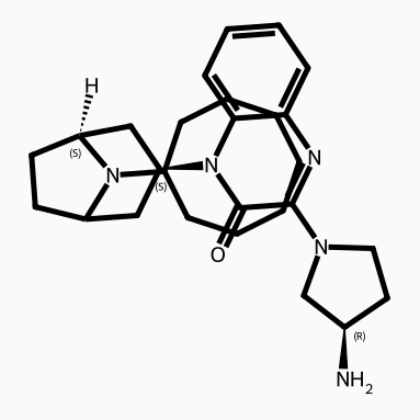 N[C@@H]1CCN(c2nc3ccccc3n([C@H]3CC4CC[C@@H](C3)N4C3CCCCCCC3)c2=O)C1